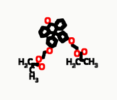 C=C(C)C(=O)OCCOc1ccc(C2(c3ccc(OCCOC(=O)C(=C)C)cc3)c3ccccc3C(=O)c3ccccc32)cc1